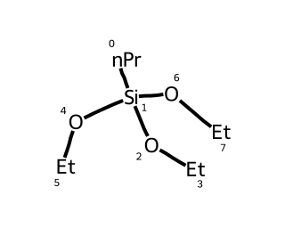 C[CH]C[Si](OCC)(OCC)OCC